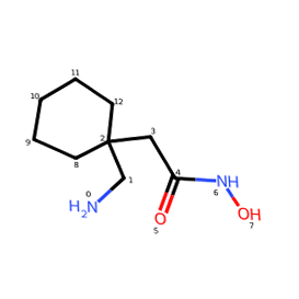 NCC1(CC(=O)NO)CCCCC1